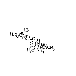 C=C/C(F)=c1/c(C(=O)C(=O)N2CCN(c3nc(OC)nn3-c3ccccc3)CC2)c[nH]/c1=C(/N)N(N)/C=C\N=C